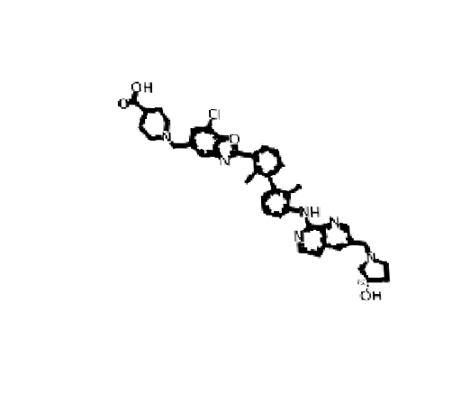 Cc1c(Nc2nccc3cc(CN4CC[C@H](O)C4)cnc23)cccc1-c1cccc(-c2nc3cc(CN4CCC(C(=O)O)CC4)cc(Cl)c3o2)c1C